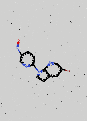 O=Nc1ccc(-n2ccc3cc(Br)cnc32)nc1